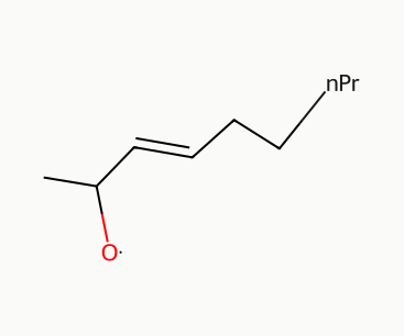 CCCCCC=CC(C)[O]